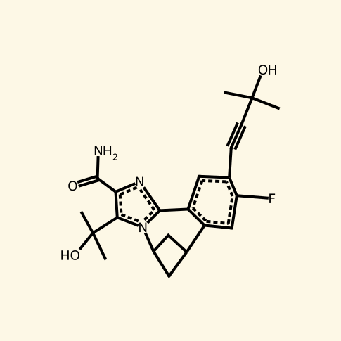 CC(C)(O)C#Cc1cc2c(cc1F)C1CC(C1)n1c-2nc(C(N)=O)c1C(C)(C)O